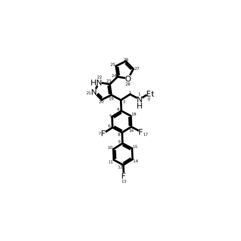 CCNCC(c1cc(F)c(-c2ccc(F)cc2)c(F)c1)c1cn[nH]c1-c1ccco1